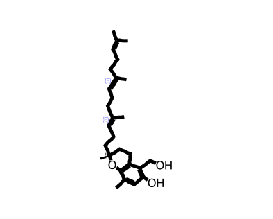 CC(C)=CCC/C(C)=C/CC/C(C)=C/CC[C@]1(C)CCc2c(CO)c(O)cc(C)c2O1